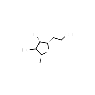 C[C@@H]1O[C@H](CCO)[C@H](O)C1O